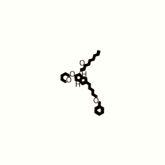 C=CCCCCC(=O)C=C[C@@H]1[C@@H]2CC(CCCCCOCc3ccccc3)=C[C@@H]2C[C@H]1OC1CCCCO1